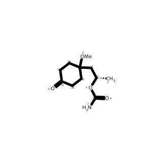 COC1(C[C@H](C)OC(N)=O)CCC(=O)CC1